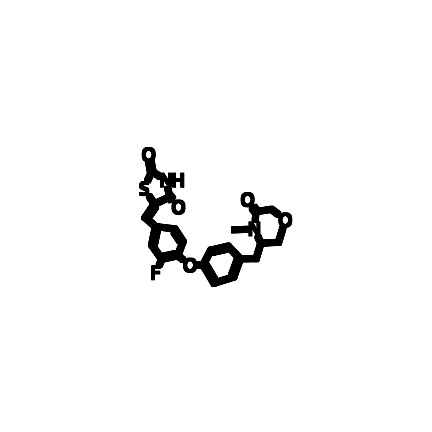 CN1C(=O)COCC1Cc1ccc(Oc2ccc(C=C3SC(=O)NC3=O)cc2F)cc1